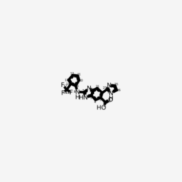 O=C(O)c1cc2[nH]c(Nc3ccccc3C(F)(F)F)nc2cc1-c1ncc[nH]1